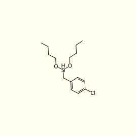 CCCCO[SiH](Cc1ccc(Cl)cc1)OCCCC